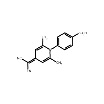 CC1=CC(=C(C#N)C#N)C=C(C)N1c1ccc(S(=O)(=O)O)cc1